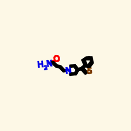 NC(=O)CCCN1CCC(c2csc3ccccc23)CC1